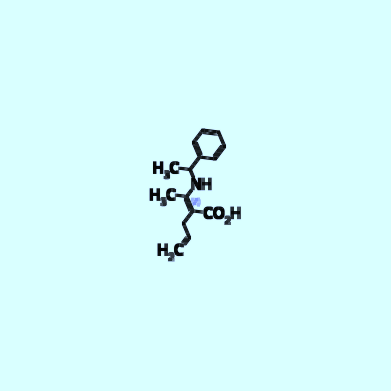 C=CC/C(C(=O)O)=C(\C)NC(C)c1ccccc1